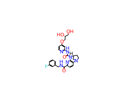 O=C(NCc1cccc(F)c1)c1ccc2c(n1)N(C(=O)Nc1cc(OC[C@H](O)CO)ccn1)[C@H]1CCN2C1